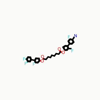 N#Cc1ccc(-c2ccc(OC(=O)CCCCCCCC(=O)Oc3ccc(-c4ccc(F)c(F)c4)c(F)c3)cc2CF)cc1F